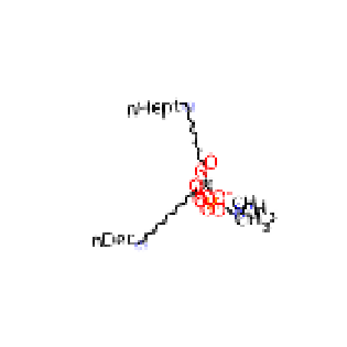 CCCCCCC/C=C\CCCCCCCC(=O)OC[C@H](COP(=O)([O-])OCC[N+](C)(C)C)OC(=O)CCCCCCCCC/C=C\CCCCCCCCCC